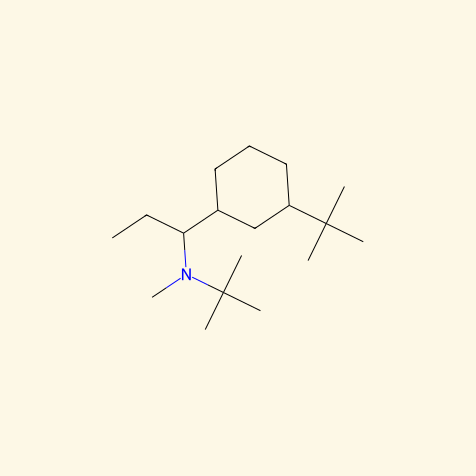 CCC(C1CCCC(C(C)(C)C)C1)N(C)C(C)(C)C